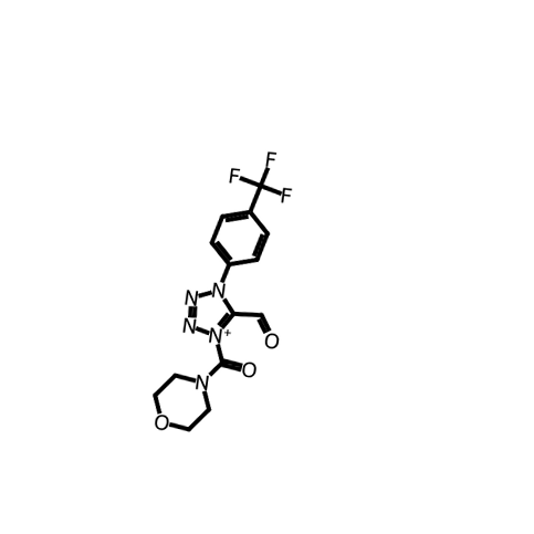 O=Cc1n(-c2ccc(C(F)(F)F)cc2)nn[n+]1C(=O)N1CCOCC1